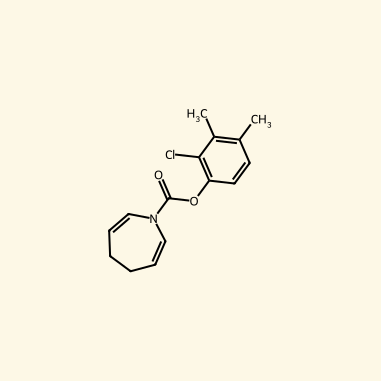 Cc1ccc(OC(=O)N2C=CCCC=C2)c(Cl)c1C